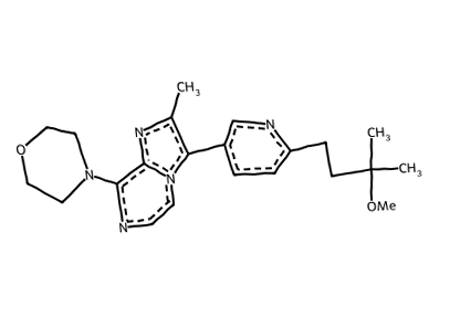 COC(C)(C)CCc1ccc(-c2c(C)nc3c(N4CCOCC4)nccn23)cn1